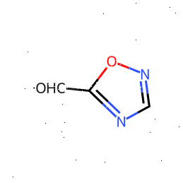 O=[C]c1ncno1